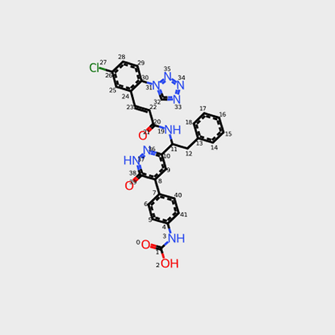 O=C(O)Nc1ccc(-c2cc(C(Cc3ccccc3)NC(=O)C=Cc3cc(Cl)ccc3-n3cnnn3)n[nH]c2=O)cc1